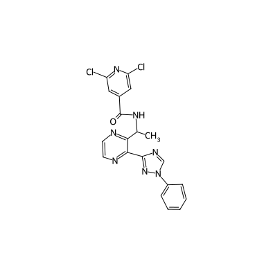 CC(NC(=O)c1cc(Cl)nc(Cl)c1)c1nccnc1-c1ncn(-c2ccccc2)n1